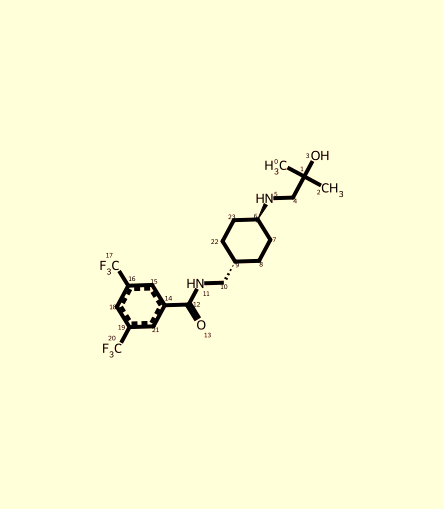 CC(C)(O)CN[C@H]1CC[C@H](CNC(=O)c2cc(C(F)(F)F)cc(C(F)(F)F)c2)CC1